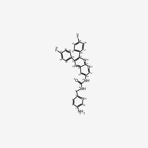 Nc1ccc(CNC(=O)Nc2cnc3nc(-c4ccc(F)cc4)c(-c4ccc(F)cc4)nc3c2)nc1